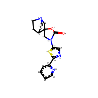 O=C1OC2(CN3CCC2CC3)CN1c1cnc(-c2ccccn2)s1